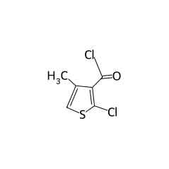 Cc1csc(Cl)c1C(=O)Cl